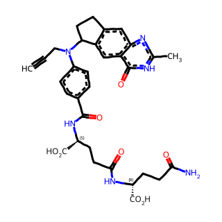 C#CCN(c1ccc(C(=O)N[C@@H](CCC(=O)N[C@H](CCC(N)=O)C(=O)O)C(=O)O)cc1)C1CCc2cc3nc(C)[nH]c(=O)c3cc21